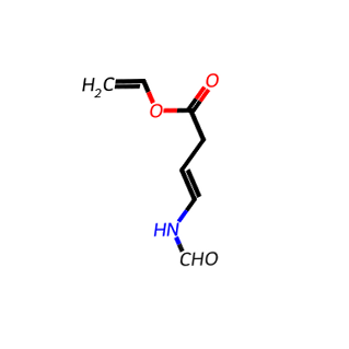 C=COC(=O)CC=CNC=O